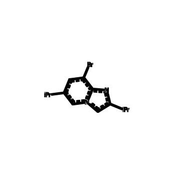 CC(C)c1cc(Br)c2nc(C(C)C)cn2c1